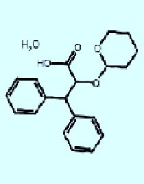 O.O=C(O)C(OC1CCCCO1)C(c1ccccc1)c1ccccc1